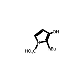 CCCCc1c(O)ccn1C(=O)O